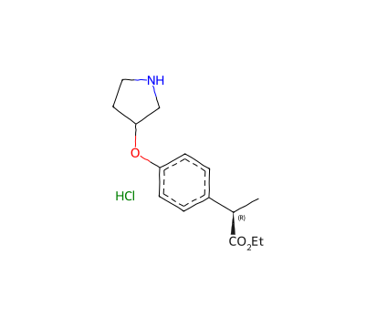 CCOC(=O)[C@H](C)c1ccc(OC2CCNC2)cc1.Cl